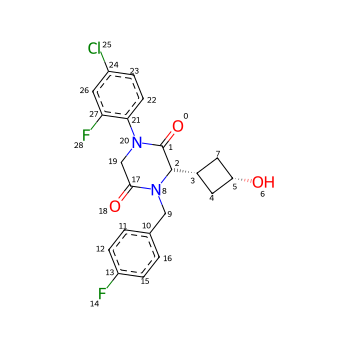 O=C1C([C@H]2C[C@@H](O)C2)N(Cc2ccc(F)cc2)C(=O)CN1c1ccc(Cl)cc1F